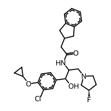 O=C(CC1Cc2ccccc2C1)NC(CN1CC[C@@H](F)C1)C(O)c1ccc(OC2CC2)c(Cl)c1